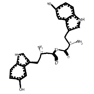 N[C@@H](Cc1c[nH]c2ccc(O)cc12)C(=O)OC(=O)[C@@H](N)Cc1c[nH]c2ccc(O)cc12